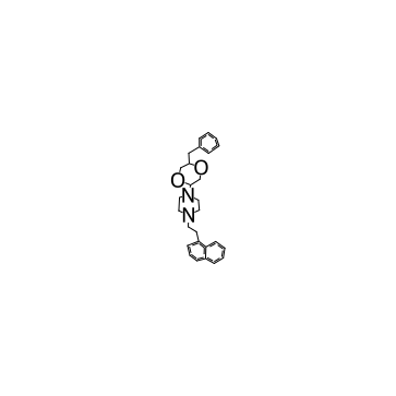 c1ccc(CC2COC(N3CCN(CCc4cccc5ccccc45)CC3)CO2)cc1